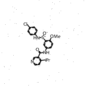 COc1ccc(NC(=O)c2cnccc2C(C)C)cc1[S+]([O-])Nc1ccc(Cl)cc1